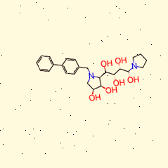 OC([C@@H](O)[C@H](O)[C@@H](O)N1CCCC1)[C@H]1[C@@H](O)[C@@H](O)CN1Cc1ccc(-c2ccccc2)cc1